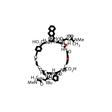 CN[C@@H](C)C(=O)N[C@H](C(=O)N1C[C@@H]2C[C@H]1C(=O)N[C@@H](Cc1ccc3ccccc3c1)C(=O)N[C@H](C(=O)O)Cc1ccc(cc1)OC/C=C/CO[C@H]1C[C@@H](C(=O)N[C@@H](c3ccccc3)C(=O)N[C@H](C(=O)O)Cc3ccc(cc3)C(=O)N2)N(C(=O)[C@@H](NC(=O)[C@H](C)NC)C(C)(C)C)C1)C(C)(C)C